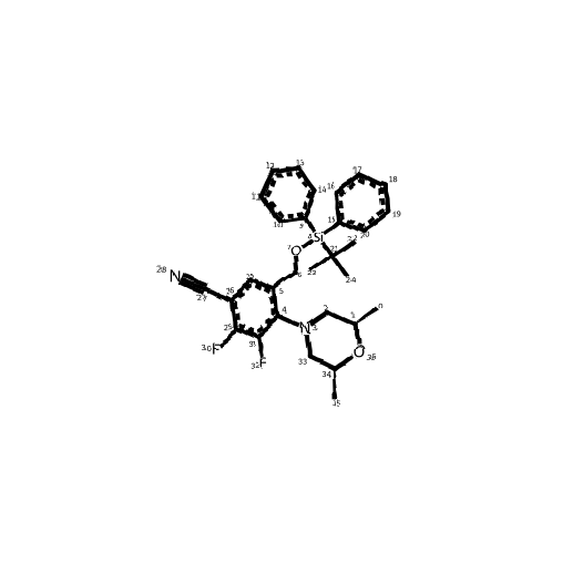 C[C@@H]1CN(c2c(CO[Si](c3ccccc3)(c3ccccc3)C(C)(C)C)cc(C#N)c(F)c2F)C[C@H](C)O1